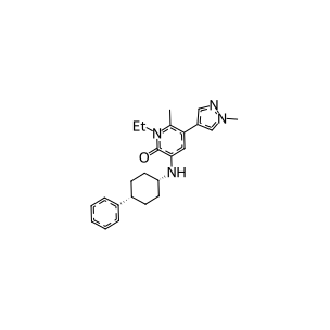 CCn1c(C)c(-c2cnn(C)c2)cc(N[C@H]2CC[C@@H](c3ccccc3)CC2)c1=O